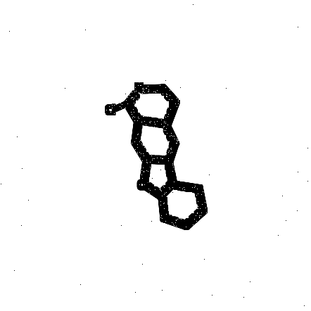 Clc1nccc2cc3c(cc12)oc1ccccc13